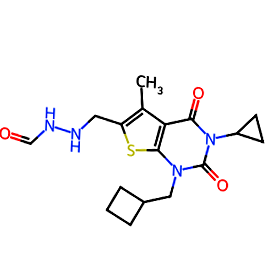 Cc1c(CNNC=O)sc2c1c(=O)n(C1CC1)c(=O)n2CC1CCC1